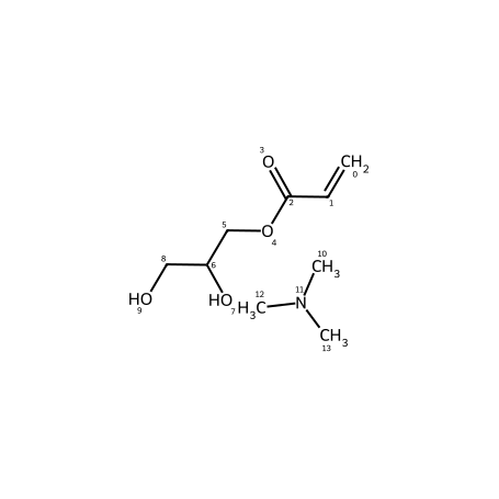 C=CC(=O)OCC(O)CO.CN(C)C